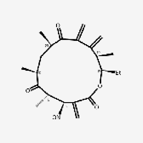 C=C1C(=C)[C@@H](C)[C@@H](CC)OC(=O)C(=C)[C@@H](N=O)[C@H](C)C(=O)[C@@H](C)C[C@@H](C)C1=O